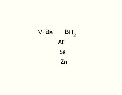 [Al].[BH2][Ba].[Si].[V].[Zn]